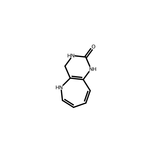 O=C1NCC2=C(C=CC=CN2)N1